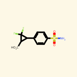 NS(=O)(=O)c1ccc(C2C(C(=O)O)C2(F)F)cc1